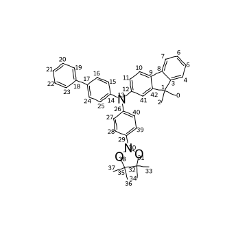 CC1(C)c2ccccc2-c2ccc(N(c3ccc(-c4ccccc4)cc3)c3ccc(N4OC(C)(C)C(C)(C)O4)cc3)cc21